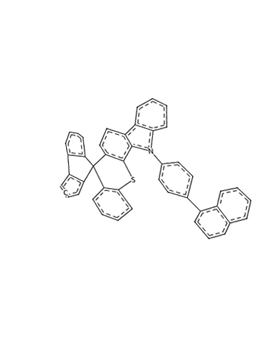 c1ccc2c(c1)Sc1c(ccc3c4ccccc4n(-c4ccc(-c5cccc6ccccc56)cc4)c13)C21c2ccccc2-c2ccccc21